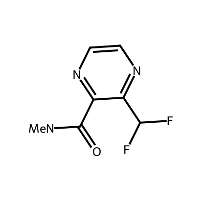 CNC(=O)c1nccnc1C(F)F